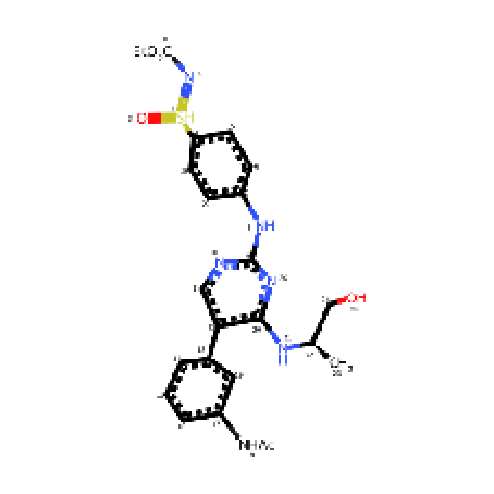 CCOC(=O)/N=[SH](=O)/c1ccc(Nc2ncc(-c3cccc(NC(C)=O)c3)c(N[C@H](C)CO)n2)cc1